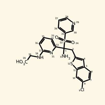 NC(Cc1cc2ccc(Cl)cc2s1)(c1cccc(NCC(=O)O)n1)S(=O)(=O)c1cccnc1